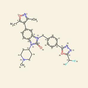 Cc1noc(C)c1-c1ccc2c(c1)n(Cc1ccc(-c3nnc(C(F)F)o3)cc1)c(=O)n2C1CCN(C)CC1